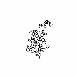 CC(C)(C)OC(=O)NCCCC[C@H](NC(=O)[C@@H]1CCCN1C(=O)CNC(=O)[C@H](CC(=O)NC(c1ccccc1)(c1ccccc1)c1ccccc1)NC(=O)[C@H](CSC(c1ccccc1)(c1ccccc1)c1ccccc1)NC(=O)[C@H](CSC(c1ccccc1)(c1ccccc1)c1ccccc1)NC(=O)CNC(=O)[C@@H]1CCC(=O)N1)C(=O)NCC(=O)O